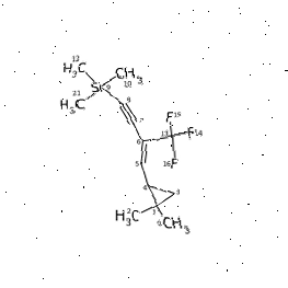 CC1(C)CC1C=C(C#C[Si](C)(C)C)C(F)(F)F